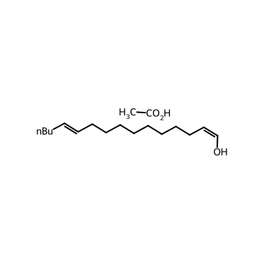 CC(=O)O.CCCCC=CCCCCCCCC/C=C\O